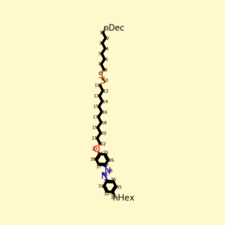 CCCCCCCCCCCCCCCCCCSSCCCCCCCCCCCCOc1ccc(/N=N/c2ccc(CCCCCC)cc2)cc1